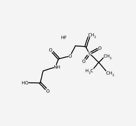 C=C(COC(=O)NCC(=O)O)S(=O)(=O)C(C)(C)C.F